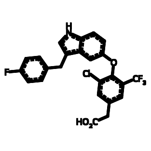 O=C(O)Cc1cc(Cl)c(Oc2ccc3[nH]cc(Cc4ccc(F)cc4)c3c2)c(C(F)(F)F)c1